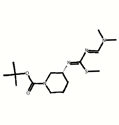 CSC(N=CN(C)C)=N[C@@H]1CCCN(C(=O)OC(C)(C)C)C1